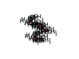 CCC12C=NC=C[N+]1(c1cc(C(C)(C)C)ccc1C(C)(C)C)N2.COC1C=C(C(C)(C)C)C(O)=C(O)C1(C(=O)O)C(C)(C)C.COC1C=C(C(C)(C)C)C(O)=C(O)C1(C(=O)O)C(C)(C)C.[Ni]